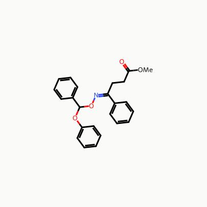 COC(=O)CCC(=NOC(Oc1ccccc1)c1ccccc1)c1ccccc1